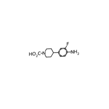 Nc1ccc(C2CCN(C(=O)O)CC2)cc1F